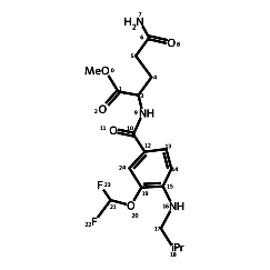 COC(=O)C(CCC(N)=O)NC(=O)c1ccc(NCC(C)C)c(OC(F)F)c1